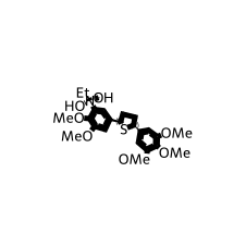 CC[N+](O)(O)c1cc([C@H]2CC[C@H](c3cc(OC)c(OC)c(OC)c3)S2)cc(OC)c1OC